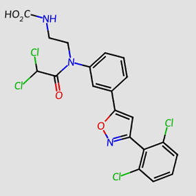 O=C(O)NCCN(C(=O)C(Cl)Cl)c1cccc(-c2cc(-c3c(Cl)cccc3Cl)no2)c1